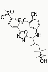 CC(CC(C)(C)[Si](C)(C)O)C(Nc1ccc(C#N)c(C(F)(F)F)c1)c1nnc(-c2ccc(S(C)(=O)=O)cc2)o1